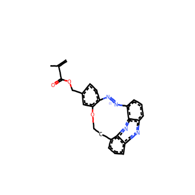 C=C(C)C(=O)OCc1ccc2c(c1)OCCc1cccc3nc4cccc(c4nc13)/N=N/2